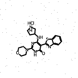 Cl.O=c1[nH]c(N2CCOCC2)nc(NC2CCNC2)c1-c1nc2ccccc2s1